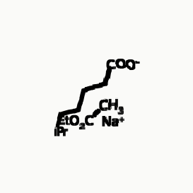 CC(C)CCCCC(=O)[O-].CCOC(C)=O.[Na+]